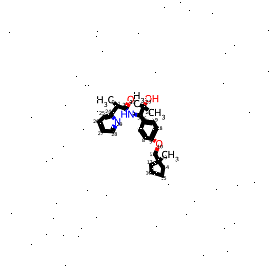 CC(C(=O)NC(c1ccc(OCC2(C)CCCC2)cc1)C(C)(C)O)c1ccccn1